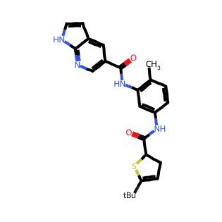 Cc1ccc(NC(=O)C2CC=C(C(C)(C)C)S2)cc1NC(=O)c1cnc2[nH]ccc2c1